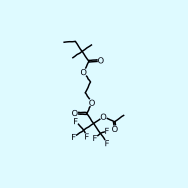 CCC(C)(C)C(=O)OCCOC(=O)C(OC(C)=O)(C(F)(F)F)C(F)(F)F